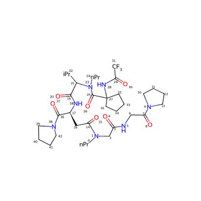 CCCN(CC(=O)NCC(=O)N1CCCC1)C(=O)C[C@H](NC(=O)C(C(C)C)N(CCC)C(=O)C1(NC(=O)C(F)(F)F)CCCC1)C(=O)N1CCCC1